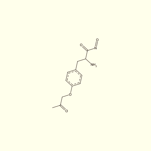 CC(=O)COc1ccc(CC(N)C(=O)N=O)cc1